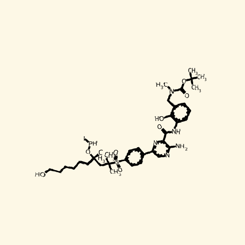 CN(Cc1cccc(NC(=O)c2nc(-c3ccc(S(=O)(=O)C(C)(C)CC(C)(CCCCCCO)OPI)cc3)cnc2N)c1O)C(=O)OC(C)(C)C